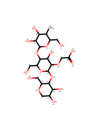 CC1C(CO)OC(OC2C(CO)OC(OC3C(CO)OCC(O)C3O)C(OCC(=O)O)C2O)C(O)C1O